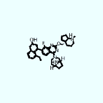 CCc1cccc2cc(O)cc(-c3ccc4c(N5CC[C@H]6CC[C@@H](C5)N6)nc(OC[C@]56CCC[C@H]5N(C)CCC6)nc4c3F)c12